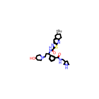 CC(C)(C)[C@H]1CCc2nc3sc(C(=O)NC(CCN4CCC(O)CC4)c4cccc(C(=O)NCC5CCNC5)c4)nc3cc2C1